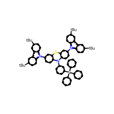 CC(C)(C)c1ccc2c(c1)c1cc(C(C)(C)C)ccc1n2-c1ccc2c(c1)Sc1cc(-n3c4ccc(C(C)(C)C)cc4c4cc(C(C)(C)C)ccc43)ccc1N2c1cccc([Si](c2ccccc2)(c2ccccc2)c2ccccc2)c1